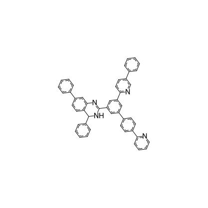 c1ccc(-c2ccc(-c3cc(C4=Nc5cc(-c6ccccc6)ccc5C(c5ccccc5)N4)cc(-c4ccc(-c5ccccn5)cc4)c3)nc2)cc1